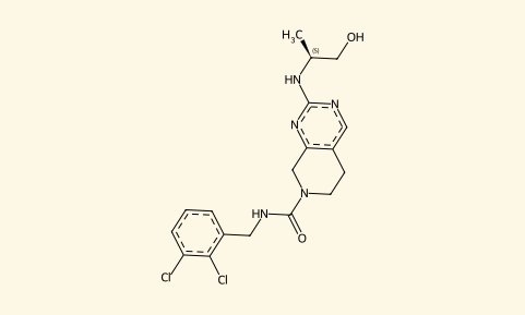 C[C@@H](CO)Nc1ncc2c(n1)CN(C(=O)NCc1cccc(Cl)c1Cl)CC2